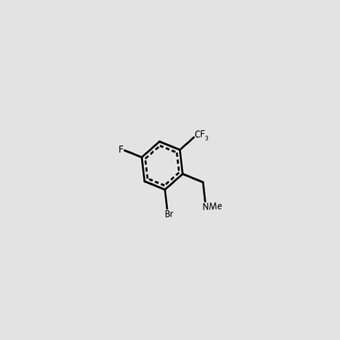 CNCc1c(Br)cc(F)cc1C(F)(F)F